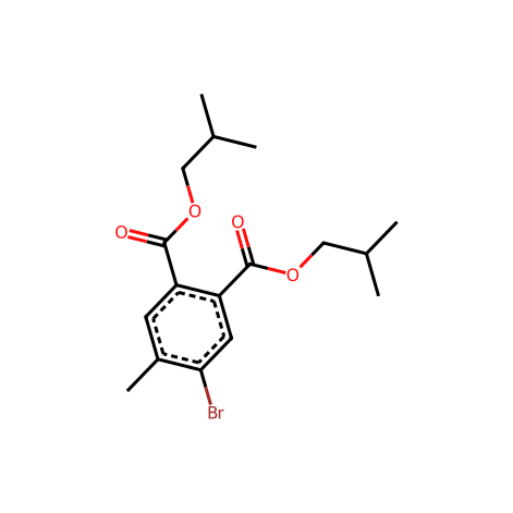 Cc1cc(C(=O)OCC(C)C)c(C(=O)OCC(C)C)cc1Br